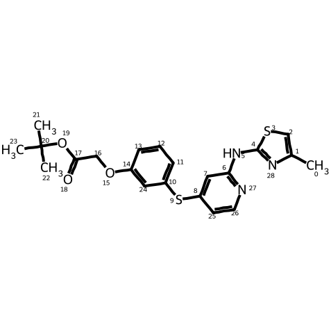 Cc1csc(Nc2cc(Sc3cccc(OCC(=O)OC(C)(C)C)c3)ccn2)n1